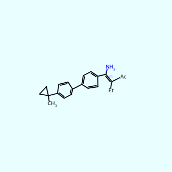 CC/C(C(C)=O)=C(/N)c1ccc(-c2ccc(C3(C)CC3)cc2)cc1